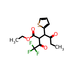 CCOC(=O)C(C(=O)C(F)(F)F)C(C(=O)CC)c1cccs1